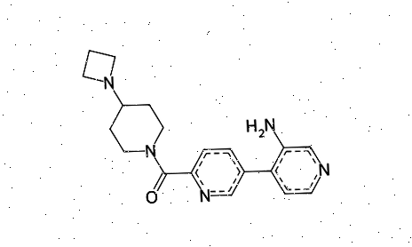 Nc1cnccc1-c1ccc(C(=O)N2CCC(N3CCC3)CC2)nc1